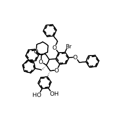 Oc1ccc([C@H]2Oc3cc(OCc4ccccc4)c(Br)c(OCc4ccccc4)c3C(Cc3ccccc3)[C@]2(Cc2ccccc2)OC2CCCCO2)cc1O